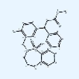 COC(=O)CC(c1ccncc1)c1ccc(C)c(CN2CCOc3ccccc3S2(=O)=O)c1